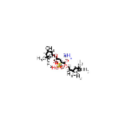 CC(CCOC(=O)CC(C(=O)OCCC(C)CC(C)(C)C)S(=O)(=O)O)CC(C)(C)C.N